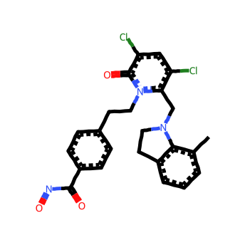 Cc1cccc2c1N(Cc1c(Cl)cc(Cl)c(=O)n1CCc1ccc(C(=O)N=O)cc1)CC2